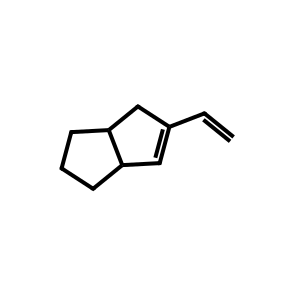 C=CC1=CC2CCCC2C1